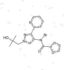 CC(C)(O)Cn1cc(N(Br)C(=O)c2ccco2)c(-c2ccccn2)n1